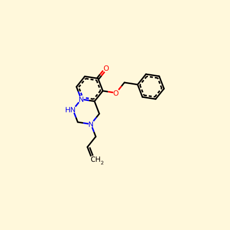 C=CCN1CNn2ccc(=O)c(OCc3ccccc3)c2C1